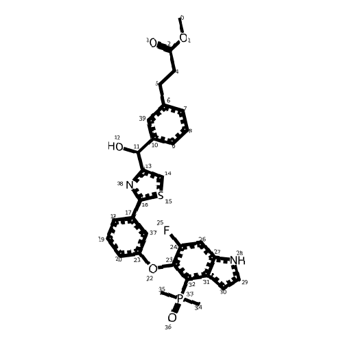 COC(=O)CCc1cccc(C(O)c2csc(-c3cccc(Oc4c(F)cc5[nH]ccc5c4P(C)(C)=O)c3)n2)c1